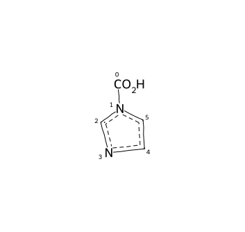 O=C(O)n1[c]ncc1